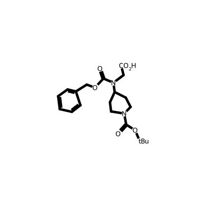 CC(C)(C)OC(=O)N1CCC(N(CC(=O)O)C(=O)OCc2ccccc2)CC1